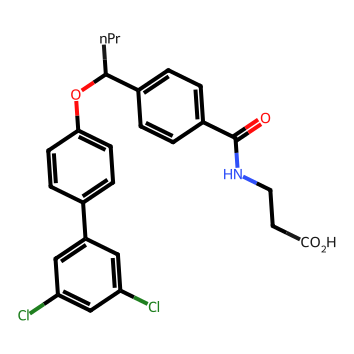 CCCC(Oc1ccc(-c2cc(Cl)cc(Cl)c2)cc1)c1ccc(C(=O)NCCC(=O)O)cc1